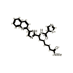 CNC(=O)CCCCCC(NC(=O)c1cncs1)c1ncc(-c2ccc3ccccc3n2)[nH]1